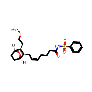 CCCCCCOCC[C@H]1[C@@H](C/C=C\CCCC(=O)NS(=O)(=O)c2ccccc2)[C@H]2CC[C@@H]1O2